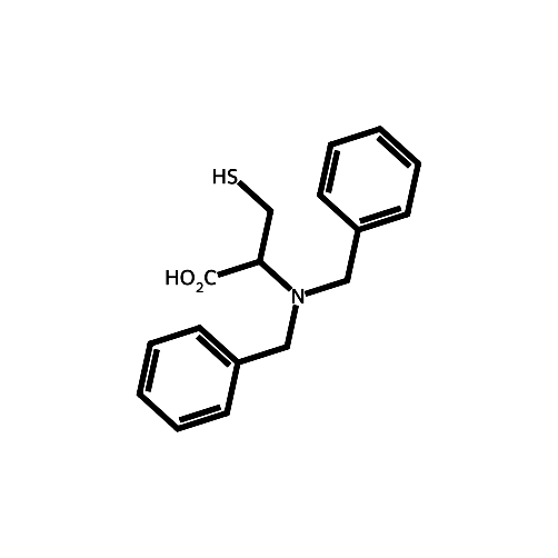 O=C(O)C(CS)N(Cc1ccccc1)Cc1ccccc1